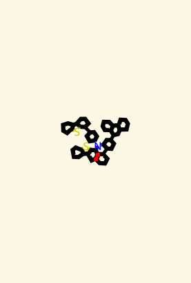 c1ccc(-c2ccc(-c3cc4ccccc4c4ccccc34)cc2N(c2ccc(-c3cccc4c3sc3ccccc34)cc2)c2cccc3c2sc2ccccc23)cc1